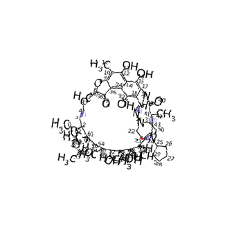 COC1/C=C/O[C@@]2(C)Oc3c(C)c(O)c4c(O)c(c(/C=N/N5CCN(C6CCCC6)CC5)c(O)c4c3C2=O)NC(=O)/C(C)=C\C=C\[C@H](C)[C@H](O)[C@@H](C)C(O)[C@@H](C)C(OC(C)=O)[C@@H]1C